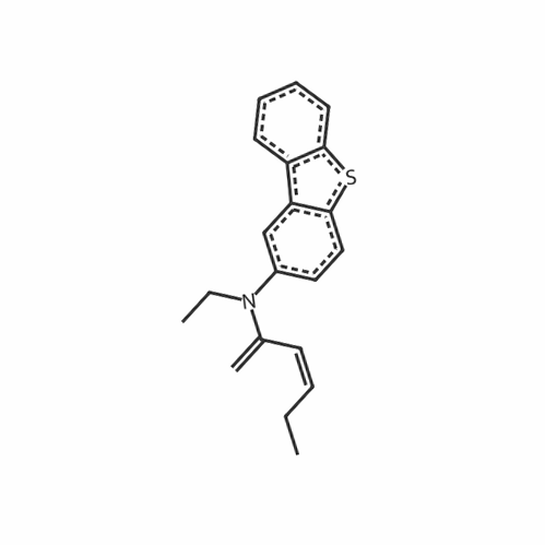 C=C(/C=C\CC)N(CC)c1ccc2sc3ccccc3c2c1